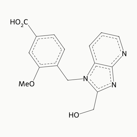 COc1cc(C(=O)O)ccc1Cn1c(CO)nc2ncccc21